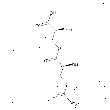 NC(=O)CC[C@H](N)C(=O)OC[C@H](N)C(=O)O